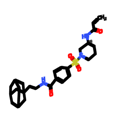 C=CC(=O)N[C@H]1CCCN(S(=O)(=O)c2ccc(C(=O)NCCC34CC5CC(CC(C5)C3)C4)cc2)C1